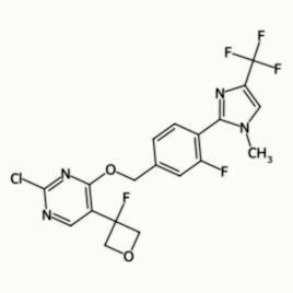 Cn1cc(C(F)(F)F)nc1-c1ccc(COc2nc(Cl)ncc2C2(F)COC2)cc1F